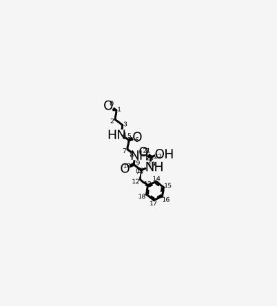 O=CCCNC(=O)CNC(=O)[C@H](Cc1ccccc1)NC(=O)O